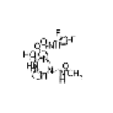 CC(=O)NCCN1CCn2cc(C(=O)NCc3ccc(F)cc3F)c(=O)c(O)c2C(=O)N[C@H]2CCCC[C@H]2C1